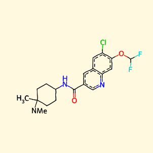 CNC1(C)CCC(NC(=O)c2cnc3cc(OC(F)F)c(Cl)cc3c2)CC1